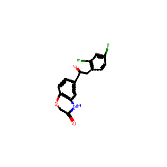 O=C1COc2ccc(C(=O)Cc3ccc(F)cc3F)cc2N1